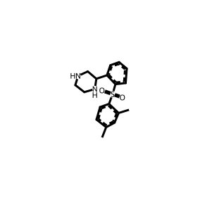 Cc1ccc(S(=O)(=O)c2ccccc2C2CNCCN2)c(C)c1